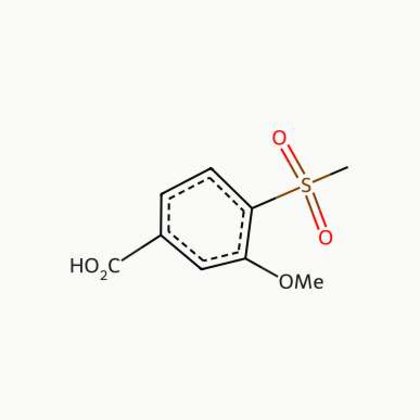 COc1cc(C(=O)O)ccc1S(C)(=O)=O